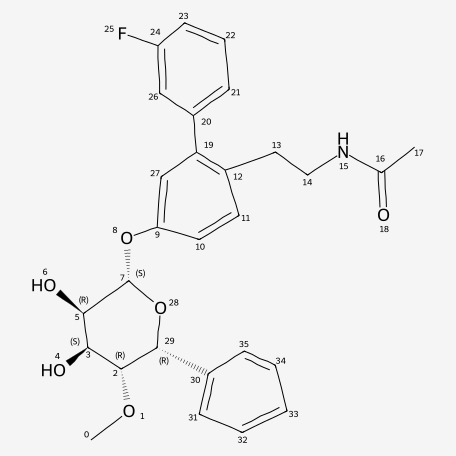 CO[C@@H]1[C@@H](O)[C@@H](O)[C@H](Oc2ccc(CCNC(C)=O)c(-c3cccc(F)c3)c2)O[C@@H]1c1ccccc1